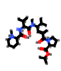 C/C(=C\[C@H](C(C)C)N(C)C(=O)[C@@H](NC(=O)C1CCCCN1C)C(C)C)C(=O)N1CCC[C@H]1C(=O)OC(C)C